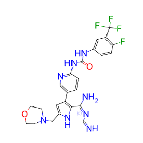 N=C/N=C(/N)c1[nH]c(CN2CCOCC2)cc1-c1ccc(NC(=O)Nc2ccc(F)c(C(F)(F)F)c2)nc1